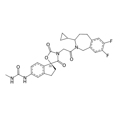 CNC(=O)Nc1ccc2c(c1)CC[C@]21OC(=O)N(CC(=O)N2Cc3cc(F)c(F)cc3CCC2C2CC2)C1=O